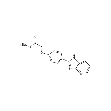 CCCCOC(=O)COc1ccc(-c2nc3ncccc3[nH]2)cc1